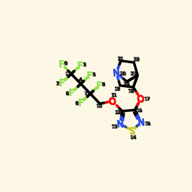 FC(F)(F)C(F)(F)C(F)(F)COc1nsnc1OC1CN2CCC1C2